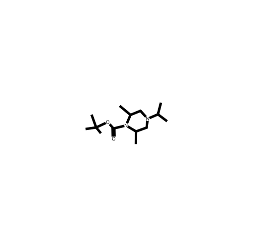 CC(C)N1CC(C)N(C(=O)OC(C)(C)C)C(C)C1